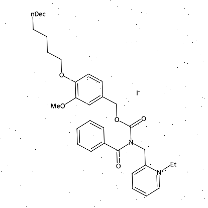 CCCCCCCCCCCCCCOc1ccc(COC(=O)N(Cc2cccc[n+]2CC)C(=O)c2ccccc2)cc1OC.[I-]